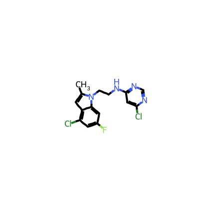 Cc1cc2c(Cl)cc(F)cc2n1CCNc1cc(Cl)ncn1